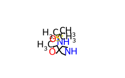 CC1OCC2(CCNCC2)C1N[S+]([O-])C(C)(C)C